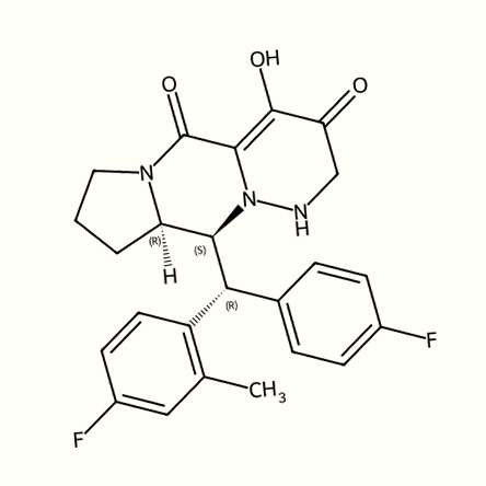 Cc1cc(F)ccc1[C@@H](c1ccc(F)cc1)[C@H]1[C@H]2CCCN2C(=O)C2=C(O)C(=O)CNN21